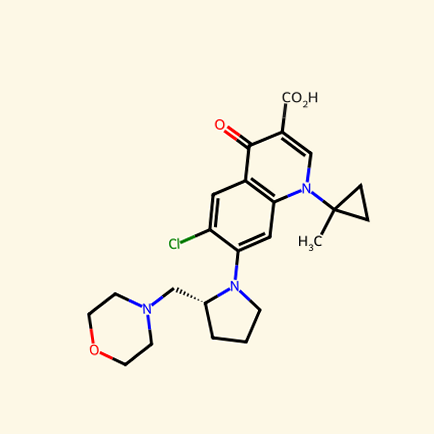 CC1(n2cc(C(=O)O)c(=O)c3cc(Cl)c(N4CCC[C@@H]4CN4CCOCC4)cc32)CC1